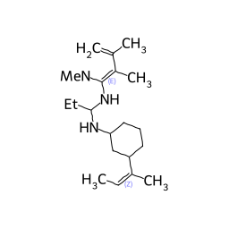 C=C(C)/C(C)=C(\NC)NC(CC)NC1CCCC(/C(C)=C\C)C1